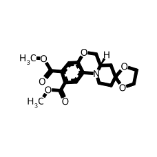 COC(=O)c1cc2c(cc1C(=O)OC)N1CCC3(C[C@H]1CO2)OCCO3